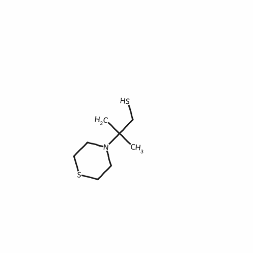 CC(C)(CS)N1CCSCC1